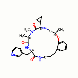 C[C@@H]1CN[C@@H](C2CC2)C(=O)N(C)[C@H](C)C(=O)N[C@H](Cc2cccnc2)C(=O)NCCCc2ccccc2O1